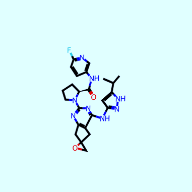 CC(C)c1cc(Nc2nc(N3CCC[C@H]3C(=O)Nc3ccc(F)nc3)nc3c2CC2(CO2)C3)n[nH]1